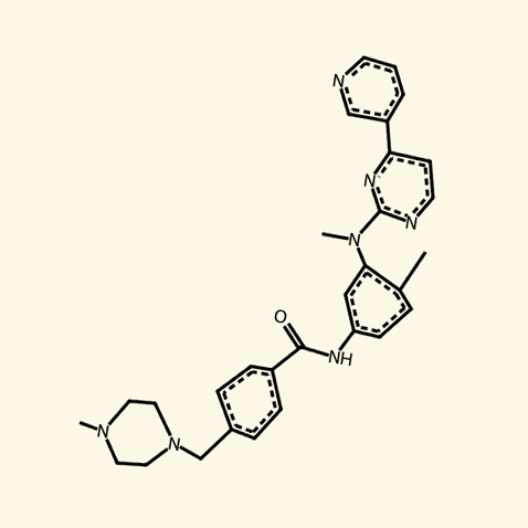 Cc1ccc(NC(=O)c2ccc(CN3CCN(C)CC3)cc2)cc1N(C)c1nccc(-c2cccnc2)n1